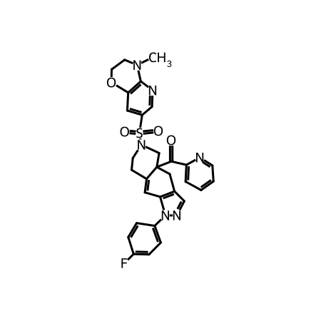 CN1CCOc2cc(S(=O)(=O)N3CCC4=Cc5c(cnn5-c5ccc(F)cc5)CC4(C(=O)c4ccccn4)C3)cnc21